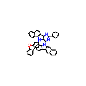 c1ccc(-c2nc(-n3c4ccccc4c4cc5ccccc5cc43)c3c(n2)c2ccc4ccccc4c2n3-c2ccc3c(c2)oc2ccccc23)cc1